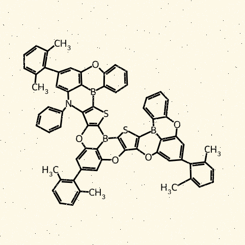 Cc1cccc(C)c1-c1cc2c3c(c1)Oc1c(sc4c1Oc1cc(-c5c(C)cccc5C)cc5c1B4c1sc4c(c1O5)N(c1ccccc1)c1cc(-c5c(C)cccc5C)cc5c1B4c1ccccc1O5)B3c1ccccc1O2